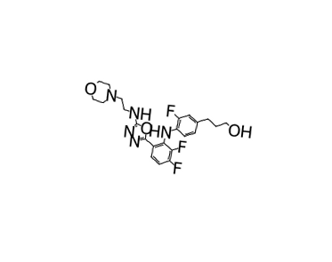 OCCCc1ccc(Nc2c(-c3nnc(NCCN4CCOCC4)o3)ccc(F)c2F)c(F)c1